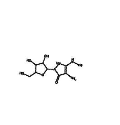 CCCNc1[nH]n(C2OC(CO)C(O)C2O)c(=O)c1N